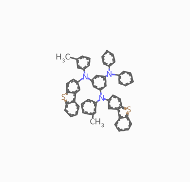 Cc1cccc(N(c2cc(N(c3ccccc3)c3ccccc3)cc(N(c3cccc(C)c3)c3ccc4sc5ccccc5c4c3)c2)c2ccc3sc4ccccc4c3c2)c1